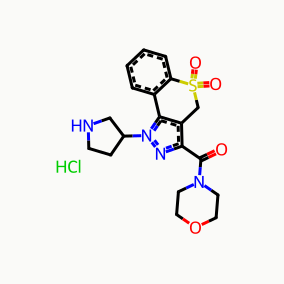 Cl.O=C(c1nn(C2CCNC2)c2c1CS(=O)(=O)c1ccccc1-2)N1CCOCC1